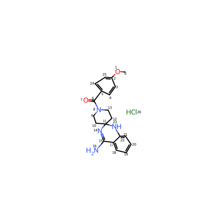 COc1ccc(C(=O)N2CCC3(CC2)N=C(N)c2ccccc2N3)cc1.Cl